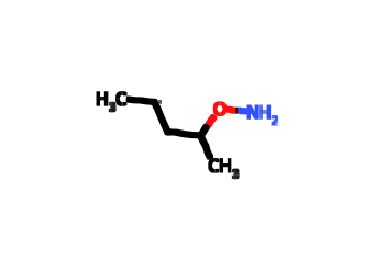 C[CH]CC(C)ON